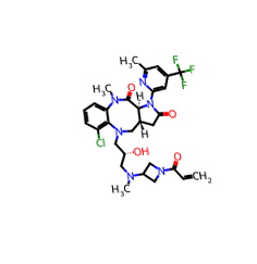 C=CC(=O)N1CC(N(C)C[C@@H](O)CN2C[C@H]3CC(=O)N(c4cc(C(F)(F)F)cc(C)n4)[C@@H]3C(=O)N(C)c3cccc(Cl)c32)C1